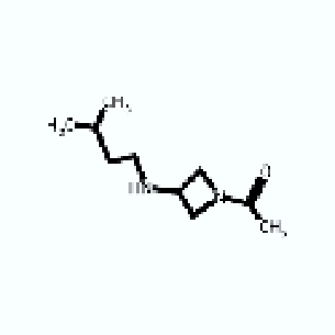 CC(=O)N1CC(NCCC(C)C)C1